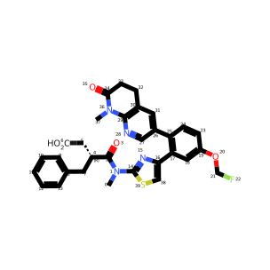 CN(C(=O)[C@@H](CC(=O)O)Cc1ccccc1)c1nc(-c2cc(OCF)ccc2-c2cnc3c(c2)CCC(=O)N3C)cs1